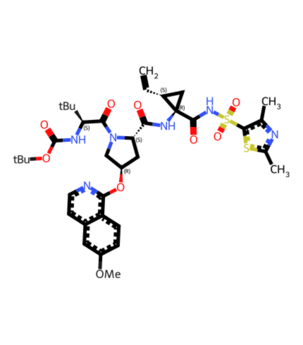 C=C[C@@H]1C[C@]1(NC(=O)[C@@H]1C[C@@H](Oc2nccc3cc(OC)ccc23)CN1C(=O)[C@@H](NC(=O)OC(C)(C)C)C(C)(C)C)C(=O)NS(=O)(=O)c1sc(C)nc1C